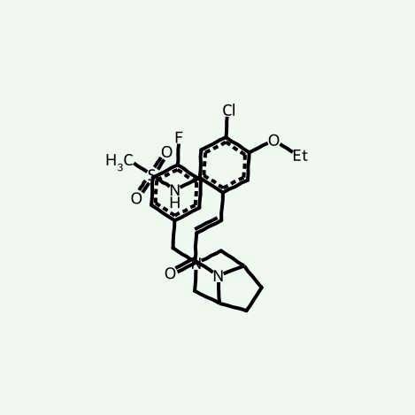 CCOc1cc(/C=C/C(=O)N2C3CCC2CN(Cc2ccc(F)cc2)C3)c(NS(C)(=O)=O)cc1Cl